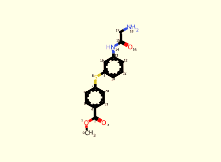 COC(=O)c1ccc(Sc2cccc(NC(=O)CN)c2)cc1